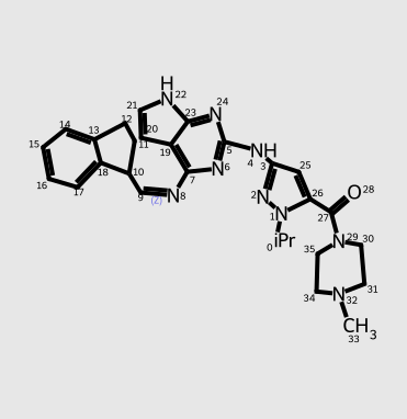 CC(C)n1nc(Nc2nc(/N=C\C3CCc4ccccc43)c3cc[nH]c3n2)cc1C(=O)N1CCN(C)CC1